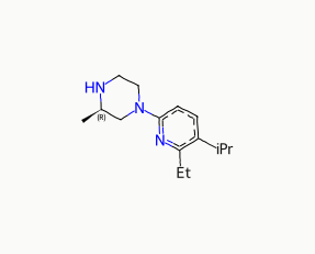 CCc1nc(N2CCN[C@H](C)C2)ccc1C(C)C